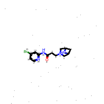 O=C(CCN1CC2CC(C1)N2)Nc1cc(Br)ccn1